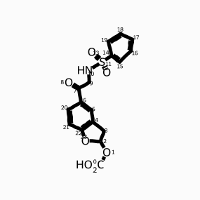 O=C(O)OC1Cc2cc(C(=O)CNS(=O)(=O)c3ccccc3)ccc2O1